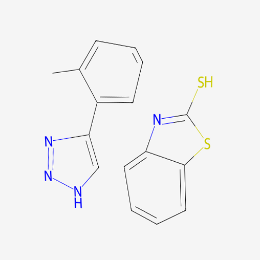 Cc1ccccc1-c1c[nH]nn1.Sc1nc2ccccc2s1